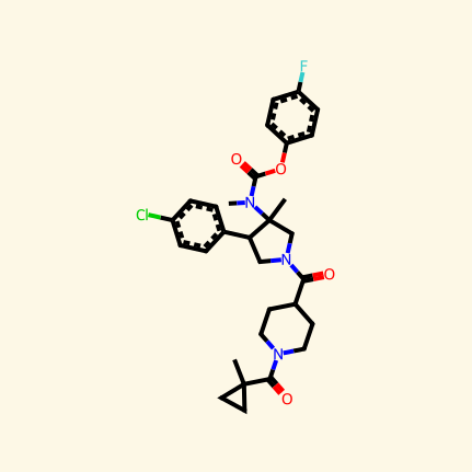 CN(C(=O)Oc1ccc(F)cc1)C1(C)CN(C(=O)C2CCN(C(=O)C3(C)CC3)CC2)CC1c1ccc(Cl)cc1